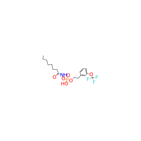 CCCCCCCC(=O)NOP(=O)(O)OCCc1cccc(OC(F)(F)F)c1